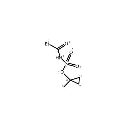 CCC(=O)NS(=O)(=O)OC1(C)CC1